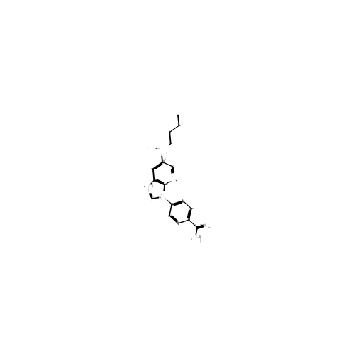 CCCC[S+]([O-])c1cnc2c(c1)ncn2-c1ccc(C(=O)O)cc1